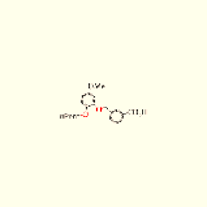 CCCCCOc1ccc(OC)cc1OCc1cccc(C(=O)O)c1